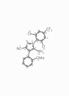 COc1ccccc1-c1c(C#N)nn(-c2c(Cl)cc(C(F)(F)F)cc2Cl)c1N